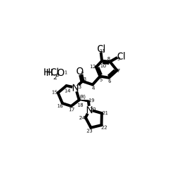 Cl.O.O=C(Cc1ccc(Cl)c(Cl)c1)N1CCCC[C@@H]1CN1CCCC1